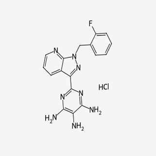 Cl.Nc1nc(-c2nn(Cc3ccccc3F)c3ncccc23)nc(N)c1N